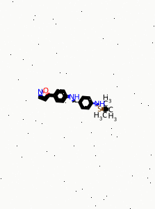 CC(C)(C)SN[C@H]1CC[C@H](CNc2ccc(-c3ccno3)cc2)CC1